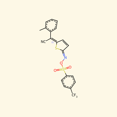 Cc1ccccc1/C(C#N)=C1\C=CC(=NOS(=O)(=O)c2ccc(C(F)(F)F)cc2)S1